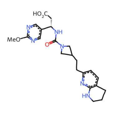 COc1ncc([C@H](CC(=O)O)NC(=O)N2CC(CCc3ccc4c(n3)NCCC4)C2)cn1